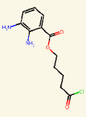 Nc1cccc(C(=O)OCCCCC(=O)Cl)c1N